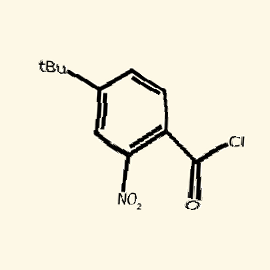 CC(C)(C)c1ccc(C(=O)Cl)c([N+](=O)[O-])c1